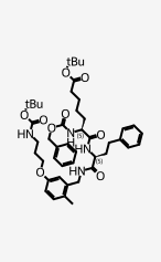 Cc1ccc(OCCCNC(=O)OC(C)(C)C)cc1CNC(=O)[C@H](CCc1ccccc1)NC(=O)[C@H](CCCCC(=O)OC(C)(C)C)NC(=O)OCc1ccccc1